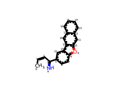 C/C=C\C(=N)c1ccc2oc3cc4ccccc4cc3c2c1